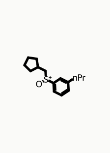 CCCc1cccc([S+]([O-])CC2CCCC2)c1